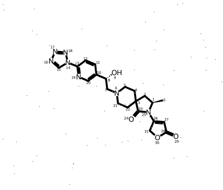 C[C@@H]1CC2(CCN(C[C@@H](O)c3ccc(-n4cnnn4)nc3)CC2)C(=O)N1C1=CC(=O)OC1